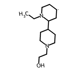 CCN1CC[CH]CC1C1CCN(CCO)CC1